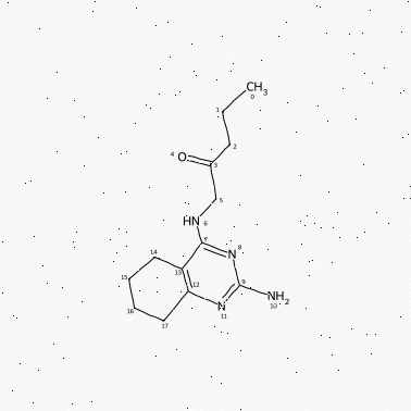 CCCC(=O)CNc1nc(N)nc2c1CCCC2